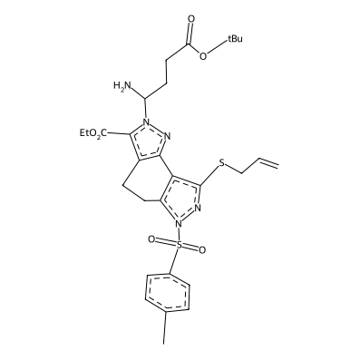 C=CCSc1nn(S(=O)(=O)c2ccc(C)cc2)c2c1-c1nn(C(N)CCC(=O)OC(C)(C)C)c(C(=O)OCC)c1CC2